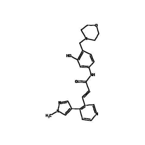 Cn1cc(-c2ccncc2C=CC(=O)Nc2ccc(CN3CCOCC3)c(O)c2)cn1